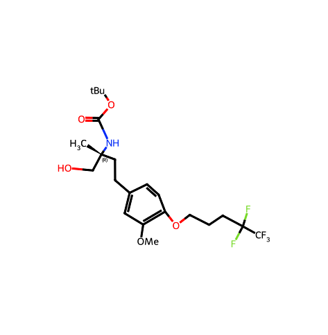 COc1cc(CC[C@](C)(CO)NC(=O)OC(C)(C)C)ccc1OCCCC(F)(F)C(F)(F)F